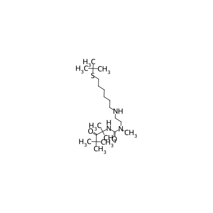 CN(CCNCCCCCCSC(C)(C)C)C(=O)NC(C)(C)C(=O)C(C)(C)C